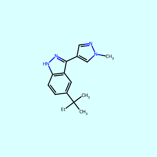 CCC(C)(C)c1ccc2[nH]nc(-c3cnn(C)c3)c2c1